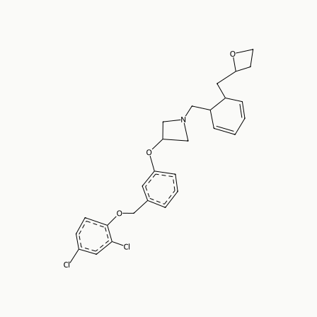 Clc1ccc(OCc2cccc(OC3CN(CC4C=CC=CC4CC4CCO4)C3)c2)c(Cl)c1